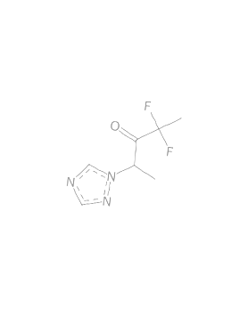 CC(C(=O)C(C)(F)F)n1cncn1